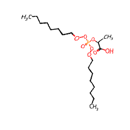 CCCCCCCCOOP(=O)(OOCCCCCCCC)OC(C)C(=O)O